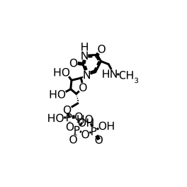 CNCc1cn([C@@H]2O[C@H](COP(=O)(O)OP(=O)(O)OP(=O)(O)O)C(O)C2O)c(=O)[nH]c1=O